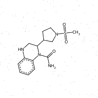 CS(=O)(=O)N1CCC(C2CNc3ccccc3N2C(N)=O)C1